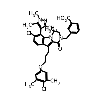 Cc1cc(OCCCc2c3n(c4c(-c5c(C)nn(C)c5C)c(Cl)ccc24)[C@H](C)CN(Cc2cccc(C(=O)O)c2)C3=O)cc(C)c1Cl